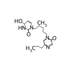 CCCc1cn(CCCC(C)CN2C=CC(O)NC2=O)c(=O)cn1